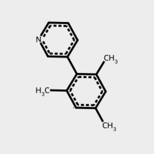 Cc1[c]c(C)c(-c2cccnc2)c(C)c1